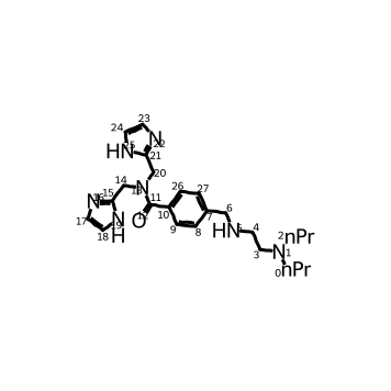 CCCN(CCC)CCNCc1ccc(C(=O)N(Cc2ncc[nH]2)Cc2ncc[nH]2)cc1